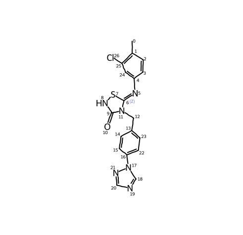 Cc1ccc(/N=c2\s[nH]c(=O)n2Cc2ccc(-n3cncn3)cc2)cc1Cl